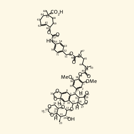 COc1cc([C@@H]2c3cc4c(cc3C(OC3O[C@@H]5CO[C@@H](C)O[C@H]5[C@H](C)[C@H]3O)[C@H]3COC(=O)[C@H]23)OCO4)cc(OC)c1OC(=O)N(C)CCN(C)C(=O)OCc1ccc(NC(=O)O[C@H]2/C=C/CC[C@@](C)(C(=O)O)CC2)cc1